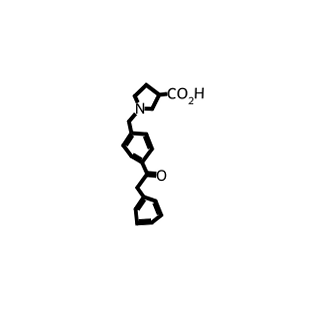 O=C(Cc1ccccc1)c1ccc(CN2CCC(C(=O)O)C2)cc1